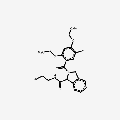 [C-]#[N+]CCNC(=O)C1c2ccccc2CN1C(=O)c1cc(Cl)c(OCOC)cc1OCOC